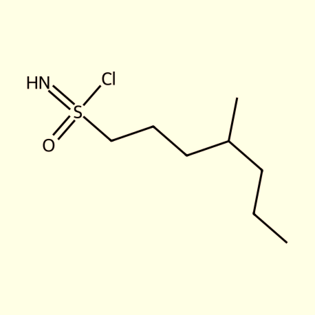 CCCC(C)CCCS(=N)(=O)Cl